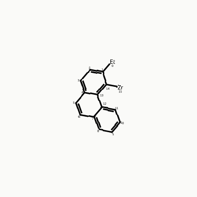 CCc1ccc2ccc3ccccc3c2[c]1[Zr]